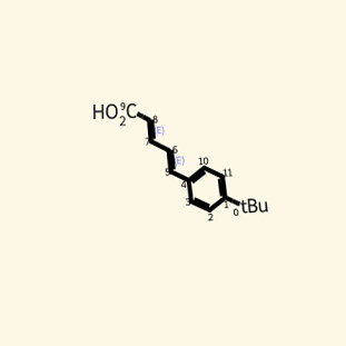 CC(C)(C)c1ccc(/C=C/C=C/C(=O)O)cc1